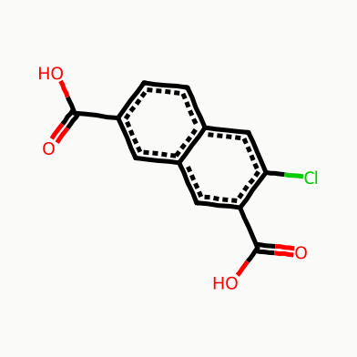 O=C(O)c1ccc2cc(Cl)c(C(=O)O)cc2c1